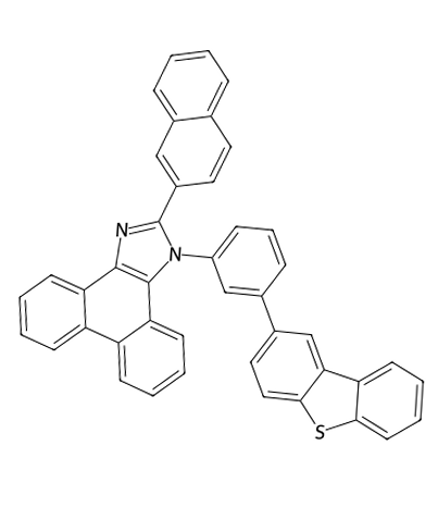 c1cc(-c2ccc3sc4ccccc4c3c2)cc(-n2c(-c3ccc4ccccc4c3)nc3c4ccccc4c4ccccc4c32)c1